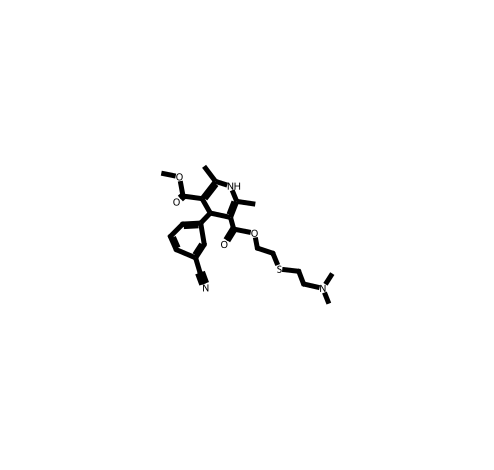 COC(=O)C1=C(C)NC(C)=C(C(=O)OCCSCCN(C)C)C1c1cccc(C#N)c1